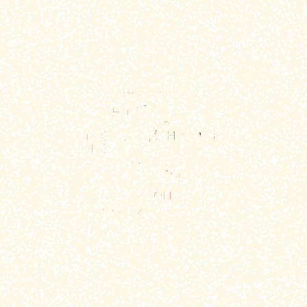 CCC(CC)(CC)C(=O)O[C@H]1C[C@H](O)C=C2C=C[C@H](C)[C@H](CC[C@@H](O)C[C@@H](O)CC(=O)O)[C@H]21